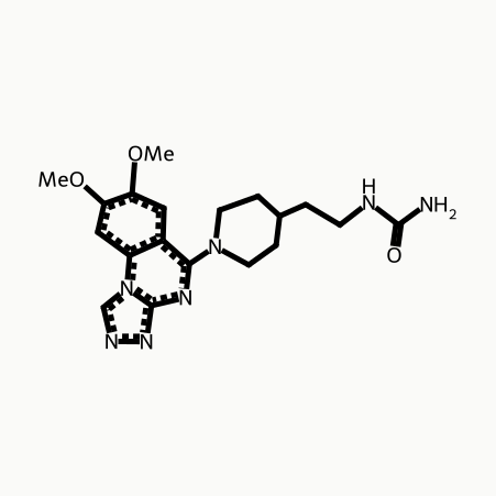 COc1cc2c(N3CCC(CCNC(N)=O)CC3)nc3nncn3c2cc1OC